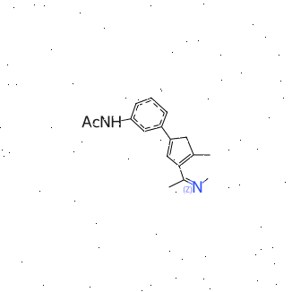 C/N=C(/C)C1=C(C)CC(c2cccc(NC(C)=O)c2)=C1